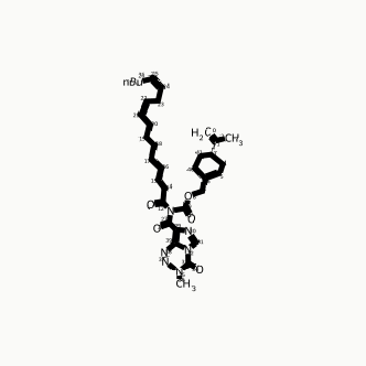 C=C(C)[C@@H]1CC=C(COC(=O)N(C(=O)CCCCCCC/C=C\C/C=C\CCCC)C(=O)c2ncn3c(=O)n(C)nnc23)CC1